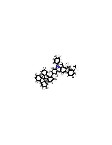 CC1(C)c2ccccc2-c2cc3c4cc(-c5cccc6c5-c5ccccc5C65c6ccccc6-c6ccccc65)ccc4n(-c4ccccc4)c3cc21